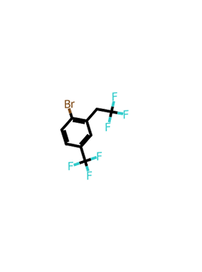 FC(F)(F)Cc1cc(C(F)(F)F)ccc1Br